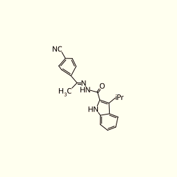 C/C(=N\NC(=O)c1[nH]c2ccccc2c1C(C)C)c1ccc(C#N)cc1